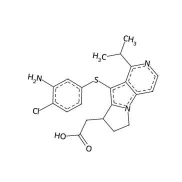 CC(C)c1nccc2c1c(Sc1ccc(Cl)c(N)c1)c1n2CCC1CC(=O)O